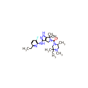 CCc1ccc(F)c(Nc2n[nH]c3c2CN(C(=O)N2CC(C)(C)N(C)C[C@@H]2C)C3(C)C)n1